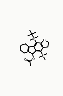 CC(=O)OC1C2=C(CCCC2)c2c1c([Si](C)(C)C)c1c(c2[Si](C)(C)C(C)(C)C)OCC1